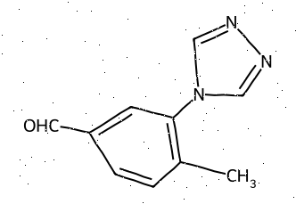 Cc1ccc(C=O)cc1-n1cnnc1